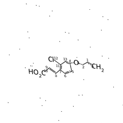 C=CCOc1ccc(C=CC(=O)O)c(Cl)c1